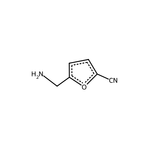 N#Cc1ccc(CN)o1